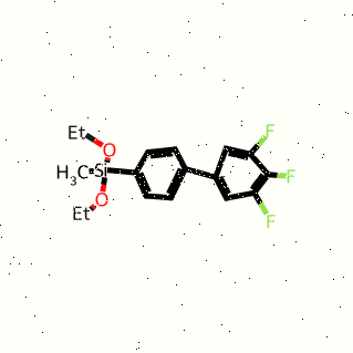 CCO[Si](C)(OCC)c1ccc(-c2cc(F)c(F)c(F)c2)cc1